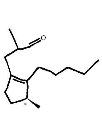 CCCCCC1=C(CC(C)C=O)CC[C@@H]1C